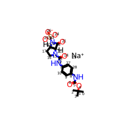 CC(C)(C)OC(=O)Nc1ccc(NC(=O)N2CC[C@@H]3[C@H]2C(=O)N3S(=O)(=O)[O-])cc1.[Na+]